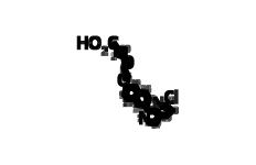 O=C(O)C12CC(OCCOc3ccc4cc(-c5nccc6ccc(Cl)nc56)ccc4c3)(C1)C2